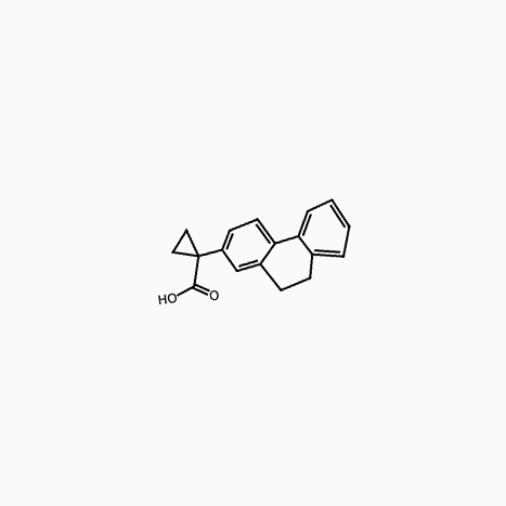 O=C(O)C1(c2ccc3c(c2)CCc2ccccc2-3)CC1